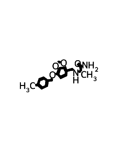 Cc1ccc(COc2ccc(CNC(C)C(N)=O)c3c2OCO3)cc1